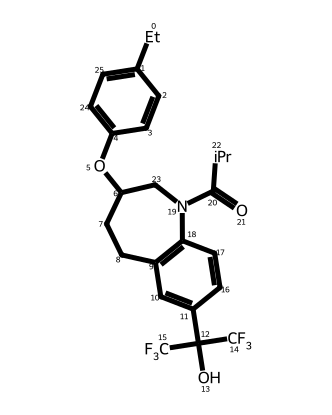 CCc1ccc(OC2CCc3cc(C(O)(C(F)(F)F)C(F)(F)F)ccc3N(C(=O)C(C)C)C2)cc1